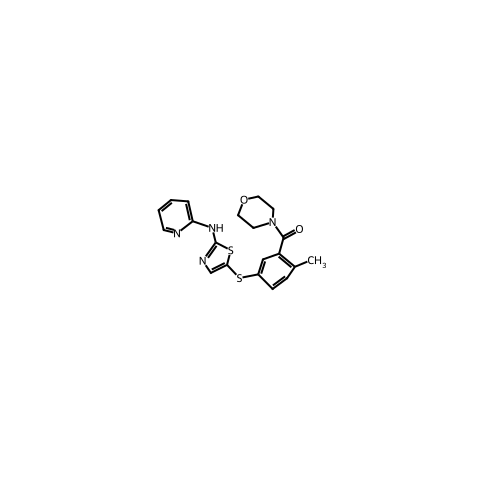 Cc1ccc(Sc2cnc(Nc3ccccn3)s2)cc1C(=O)N1CCOCC1